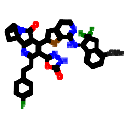 COc1cccc2c1CC(F)(F)[C@H]2Nc1nccc2cc(-c3c4c(nc(CCc5ccc(F)cc5)c3-c3n[nH]c(=O)o3)C35CC(CN3C4=O)C5)sc12